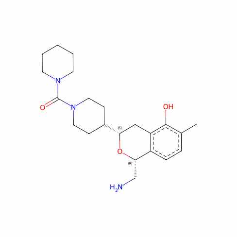 Cc1ccc2c(c1O)C[C@@H](C1CCN(C(=O)N3CCCCC3)CC1)O[C@H]2CN